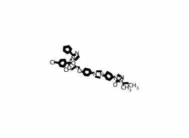 CCC(C)n1ncn(-c2ccc(N3CCN(c4ccc(OC[C@@H]5CO[C@@](Cn6ccnc6-c6ccccc6)(c6ccc(Cl)cc6Cl)O5)cc4)CC3)cc2)c1=O